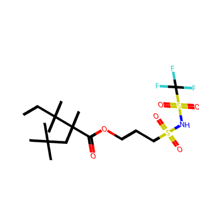 CCC(C)(C)C(C)(CC(C)(C)C)C(=O)OCCCS(=O)(=O)NS(=O)(=O)C(F)(F)F